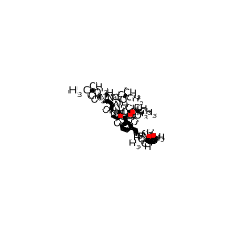 CC(C)(C)OC(=O)NC(C(=O)N1CC[C@H](Oc2ccc(CCB3O[C@@H]4C[C@@H]5C[C@@H](C5(C)C)[C@]4(C)O3)c(OC(=O)OC(C)(C)C)c2C(=O)OC(C)(C)C)C1)c1cn(C(=O)OC(C)(C)C)cn1